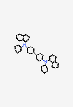 C1=CC(C2=CCC(N(c3ccccc3)c3cccc4ccccc34)CC2)CC=C1N(c1ccccc1)c1cccc2ccccc12